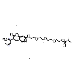 C=N/C=C(\C=C/C)c1cc2cnc(OCCOCCOCCOCCOC(=O)C(C)C)cc2oc1=O